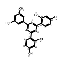 Cc1cc(C)cc(-c2nc(-c3ccc(O)cc3O)nc(-c3ccc(O)cc3O)n2)c1